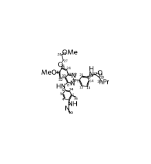 C=NNc1ccc(Nc2nc(-c3cccc(NC4OC4CCC)c3)nc3cc(OCCOC)c(OC)cc23)cc1C